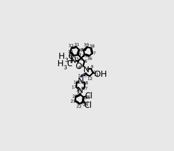 CN(C)C(=O)C(CCN1CC(O)C/C1=C\N1CCN(c2cccc(Cl)c2Cl)CC1)(c1ccccc1)c1ccccc1